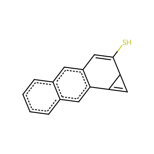 SC1=Cc2cc3ccccc3cc2C2=CC12